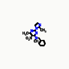 Cc1nc(-n2ccnc2C)nc(N(C)Cc2ccccc2)c1[N+](=O)[O-]